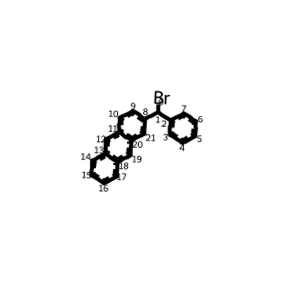 BrC(c1ccccc1)c1ccc2cc3ccccc3cc2c1